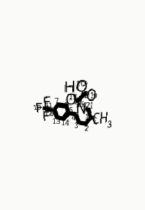 CC1CCC(c2ccc(C(F)(F)F)cc2)N(C(=O)C(=O)O)C1